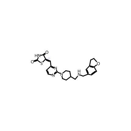 O=C1NC(=O)/C(=C/c2ccnc(N3CCC(CNCc4ccc5c(c4)CCO5)CC3)n2)S1